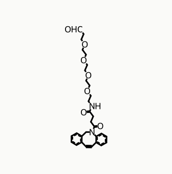 O=CCCOCCOCCOCCOCCNC(=O)CCC(=O)N1Cc2ccccc2C#Cc2ccccc21